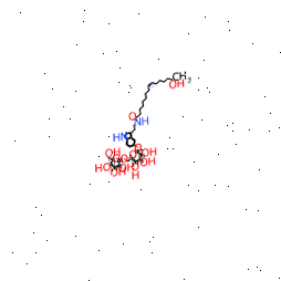 CC(O)CCCC/C=C\CCCCCCCC(=O)NCCc1c[nH]c2ccc(O[C@H]3O[C@H](CO[C@H]4O[C@H](CO)[C@@H](O)[C@H](O)[C@H]4O)[C@@H](O)[C@H](O)[C@H]3O)cc12